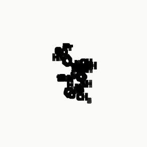 Cc1cc(Nc2ccc(-c3sc(C4CCC(NC(=O)OC(C)C)CC4)nc3C(O)(O)O)c(SNC(C)(C)C)c2)nn1C1CCCCO1